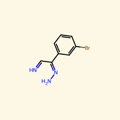 N=C/C(=N\N)c1cccc(Br)c1